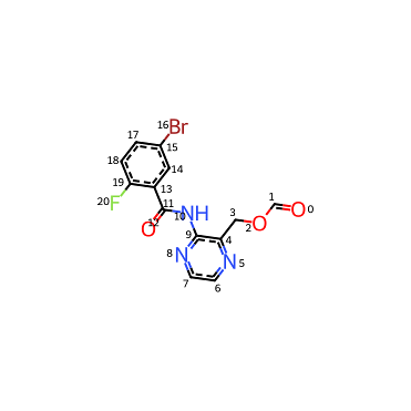 O=COCc1nccnc1NC(=O)c1cc(Br)ccc1F